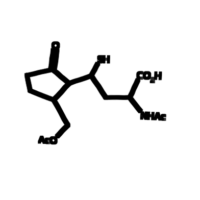 CC(=O)NC(CC(S)C1C(=O)CCC1COC(C)=O)C(=O)O